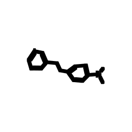 CN(C)c1ccc(CCc2c[c]ccc2)cc1